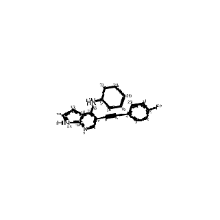 Fc1ccc(C#Cc2cnc3[nH]ccc3c2NC2CCCCC2)cc1